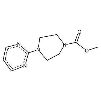 COC(=O)N1CCN(c2ncccn2)CC1